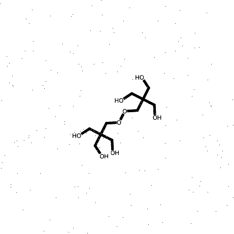 OCC(CO)(CO)COOCC(CO)(CO)CO